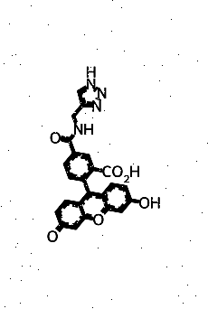 O=C(NCc1c[nH]nn1)c1ccc(-c2c3ccc(=O)cc-3oc3cc(O)ccc23)c(C(=O)O)c1